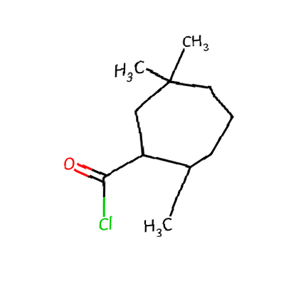 CC1CCCC(C)(C)CC1C(=O)Cl